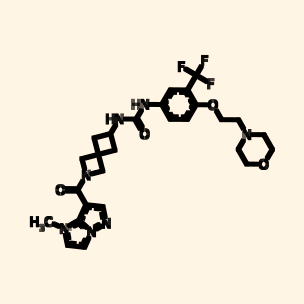 Cn1ccn2ncc(C(=O)N3CC4(CC(NC(=O)Nc5ccc(OCCN6CCOCC6)c(C(F)(F)F)c5)C4)C3)c12